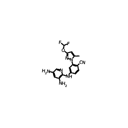 Cc1cc(OC(F)F)nn1-c1cc(Nc2ncc(N)cc2N)ccc1C#N